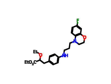 CCOC(=O)C(Cc1ccc(NCCCN2CCOc3cc(F)ccc32)cc1)OCC